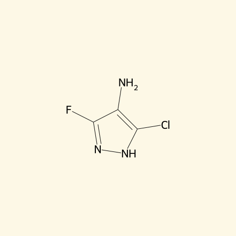 Nc1c(F)n[nH]c1Cl